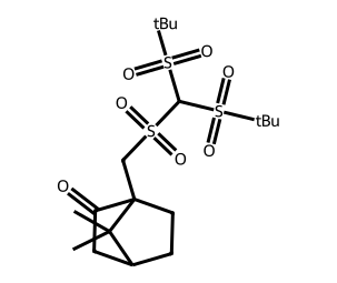 CC1(C)C2CCC1(CS(=O)(=O)C(S(=O)(=O)C(C)(C)C)S(=O)(=O)C(C)(C)C)C(=O)C2